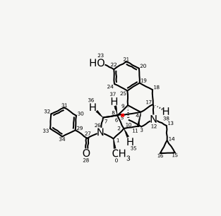 C[C@@H]1[C@H]2C[C@@]34CC[C@H]([C@@H]2[C@]32CCN(CC3CC3)[C@@H]4Cc3ccc(O)cc32)N1C(=O)c1ccccc1